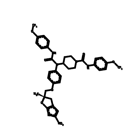 C[C@]1(COc2ccc(N(C(=O)Nc3ccc(OC(F)(F)F)cc3)C3CCN(C(=O)Nc4ccc(OC(F)(F)F)cc4)CC3)cc2)Cn2cc([N+](=O)[O-])nc2O1